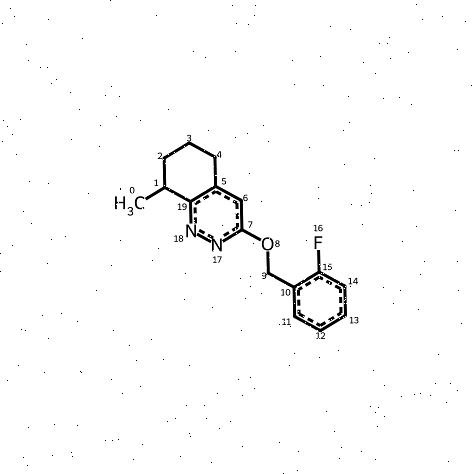 CC1CCCc2cc(OCc3ccccc3F)nnc21